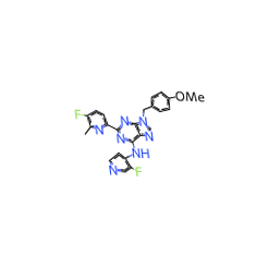 COc1ccc(Cn2cnc3c(Nc4ccncc4F)nc(-c4ccc(F)c(C)n4)nc32)cc1